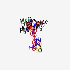 COc1cc2cc(c1Cl)N(C)C(=O)C[C@H](OC(=O)[C@H](C)N(C)C(=O)CCSC1CC(=O)N(CCOCCOCCNC(=O)COC3CNC(=O)CCSC4CCCCCCC(C4)SCCC(=O)NC3)C1=O)[C@](C)(O)C[C@H](C)CC[C@@](O)(NC(=O)N=O)[C@H](OC)/C=C/C=C(\C)C2